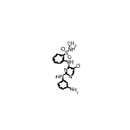 CNS(=O)(=O)c1ccccc1Nc1nc(Nc2cccc(N)c2)ncc1Cl